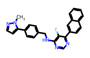 Cn1nccc1-c1ccc(CNc2ncnc(-c3ccc4ccccc4c3)c2F)cc1